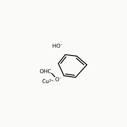 O=C[O-].[Cu+2].[OH-].c1ccccc1